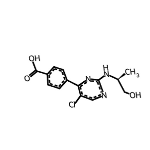 C[C@@H](CO)Nc1ncc(Cl)c(-c2ccc(C(=O)O)cc2)n1